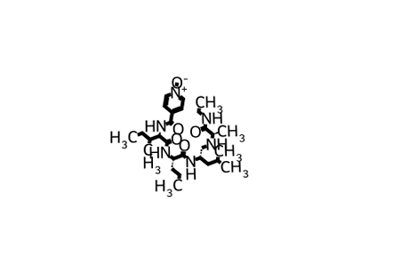 CCC[C@H](NC(=O)[C@@H](NC(=O)c1cc[n+]([O-])cc1)C(C)CC)C(=O)N[C@H](CN[C@@H](C)C(=O)NCC)CC(C)C